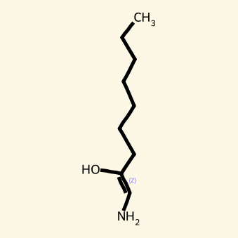 CCCCCCC/C(O)=C/N